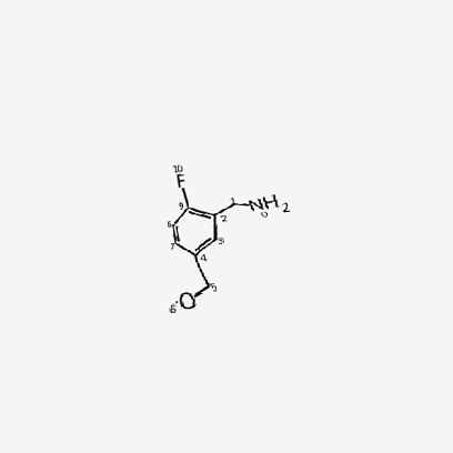 NCc1cc(C[O])ccc1F